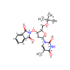 Cc1cn([C@H]2CC(ON3C(=O)c4ccccc4C3=O)[C@@H](CO[Si](C)(C)C(C)(C)C)O2)c(=O)[nH]c1=O